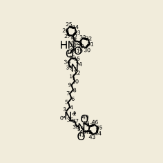 C[N+](C)(CCCCCCCCCCN1CCC(OC(=O)NC(c2ccccc2)c2ccccc2)CC1)CCCN1C(=O)c2ccccc2C1=O